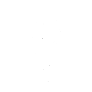 CCn1c(=O)c2c(nc(C=Cc3cccc(OC)c3[N+](=O)[O-])n2C)n(CC)c1=O